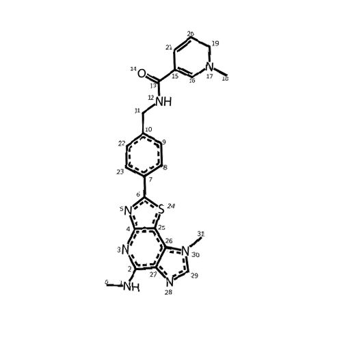 CNc1nc2nc(-c3ccc(CNC(=O)C4=CN(C)CC=C4)cc3)sc2c2c1ncn2C